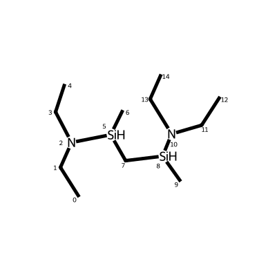 CCN(CC)[SiH](C)C[SiH](C)N(CC)CC